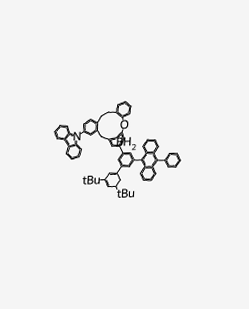 Bc1c2cc(-c3cc(C4=CC(C(C)(C)C)=CC(C(C)(C)C)C4)cc(-c4c5ccccc5c(-c5ccccc5)c5ccccc45)c3)cc1Oc1ccccc1CCc1ccc(-n3c4ccccc4c4ccccc43)cc1C2